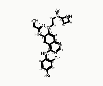 C=CC(=O)Nc1cc2c(Nc3ccc(Br)cc3F)ncnc2cc1OCCN(C(C)=O)C1CCN1